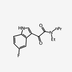 CCCN(CC)C(=O)C(=O)c1c[nH]c2ccc(F)cc12